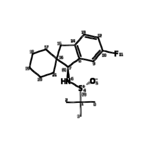 CC(C)(C)[S@@+]([O-])N[C@@H]1c2cc(F)ccc2CC12CCCCC2